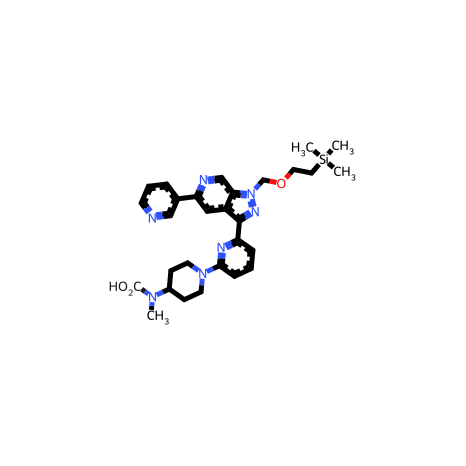 CN(C(=O)O)C1CCN(c2cccc(-c3nn(COCC[Si](C)(C)C)c4cnc(-c5cccnc5)cc34)n2)CC1